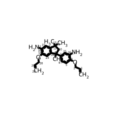 C=CCOc1ccc(C2(C)CC(C)(C)c3cc(N)c(OCC=C)cc32)cc1N